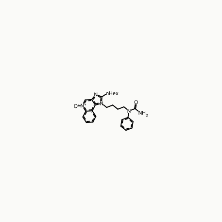 CCCCCCc1nc2c[n+]([O-])c3ccccc3c2n1CCCCN(C(N)=O)c1ccccc1